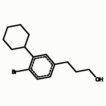 OCCCc1ccc(Br)c(C2CCCCC2)c1